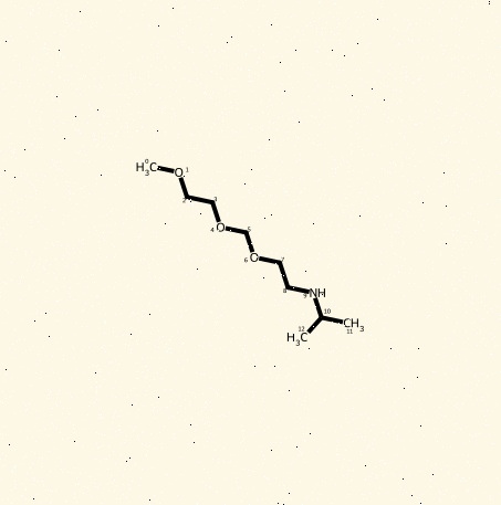 COCCOCOCCNC(C)C